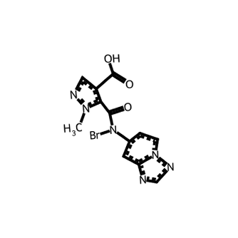 Cn1ncc(C(=O)O)c1C(=O)N(Br)c1ccn2ncnc2c1